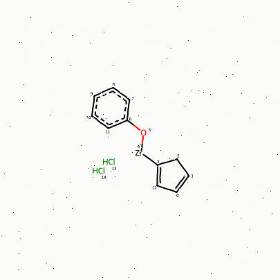 C1=CC[C]([Zr][O]c2ccccc2)=C1.Cl.Cl